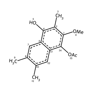 COc1c(C)c(O)c2cc(C)c(C)cc2c1OC(C)=O